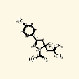 C=C(C)CC1(C)CC(c2ccc(C)cc2)=NN1C(C)=O